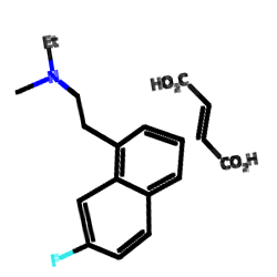 CCN(C)CCc1cccc2ccc(F)cc12.O=C(O)/C=C/C(=O)O